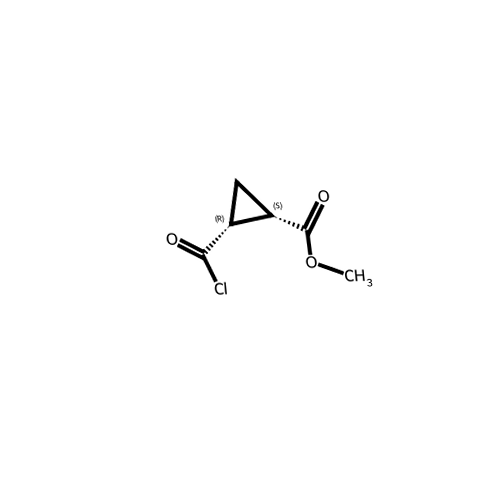 COC(=O)[C@H]1C[C@H]1C(=O)Cl